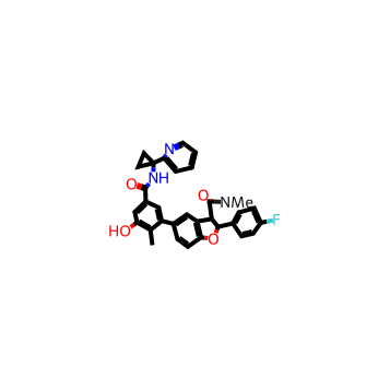 CNC(=O)C1c2cc(-c3cc(C(=O)NC4(c5ccccn5)CC4)cc(O)c3C)ccc2OC1c1ccc(F)cc1